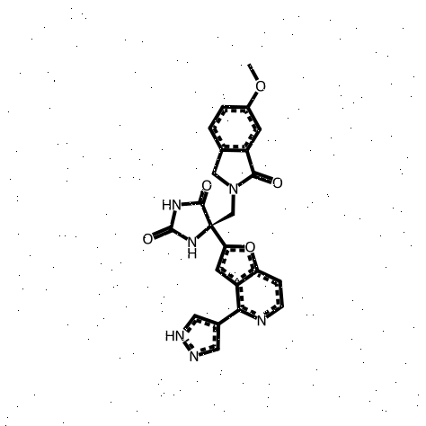 COc1ccc2c(c1)C(=O)N(C[C@@]1(c3cc4c(-c5cn[nH]c5)nccc4o3)NC(=O)NC1=O)C2